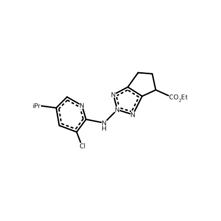 CCOC(=O)C1CCc2nn(Nc3ncc(C(C)C)cc3Cl)nc21